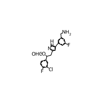 NCc1cc(F)cc(-c2cc(CC(OC=O)c3ccc(F)c(Cl)c3)n[nH]2)c1